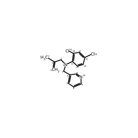 C=C(C)CN(Cc1cccnc1)c1ccc(Cl)cc1Cl